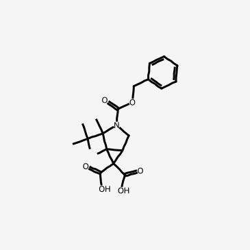 CC(C)(C)C1(C)N(C(=O)OCc2ccccc2)CC2C(C(=O)O)(C(=O)O)C21C